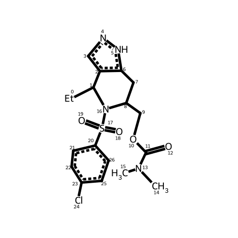 CCC1c2cn[nH]c2CC(COC(=O)N(C)C)N1S(=O)(=O)c1ccc(Cl)cc1